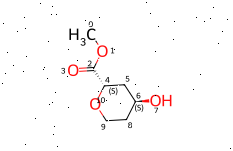 COC(=O)[C@@H]1C[C@@H](O)CCO1